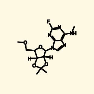 CNc1nc(F)nc2c1ncn2C1O[C@H](COC)[C@H]2OC(C)(C)O[C@@H]12